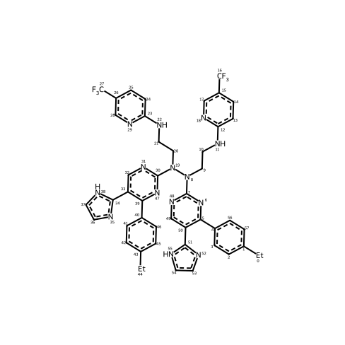 CCc1ccc(-c2nc(N(CCNc3ccc(C(F)(F)F)cn3)N(CCNc3ccc(C(F)(F)F)cn3)c3ncc(-c4ncc[nH]4)c(-c4ccc(CC)cc4)n3)ncc2-c2ncc[nH]2)cc1